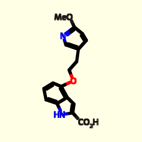 COc1ccc(CCOc2cccc3[nH]c(C(=O)O)cc23)cn1